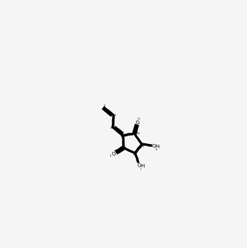 C=CC=C1C(=O)C(O)C(O)C1=O